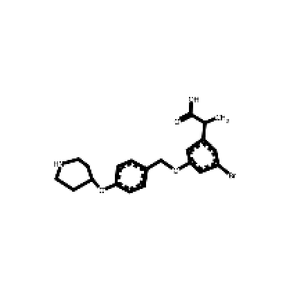 CC(C(=O)O)c1cc(Br)cc(OCc2ccc(OC3CCNCC3)cc2)c1